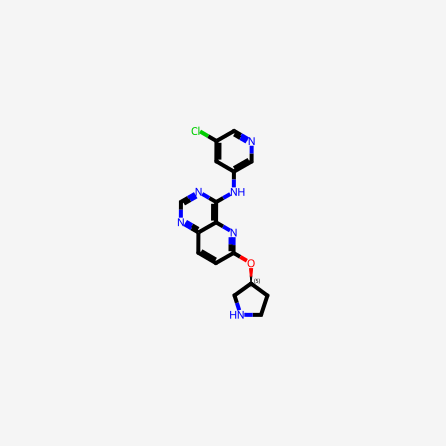 Clc1cncc(Nc2ncnc3ccc(O[C@H]4CCNC4)nc23)c1